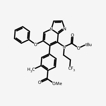 COC(=O)c1ccc(-c2c(Oc3ccccc3)cn3ccnc3c2N(CCC(F)(F)F)C(=O)OC(C)(C)C)cc1C